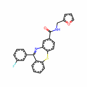 O=C(NCc1ccco1)c1ccc2c(c1)N=C(c1cccc(F)c1)c1ccccc1S2